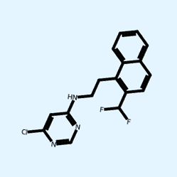 FC(F)c1ccc2ccccc2c1CCNc1cc(Cl)ncn1